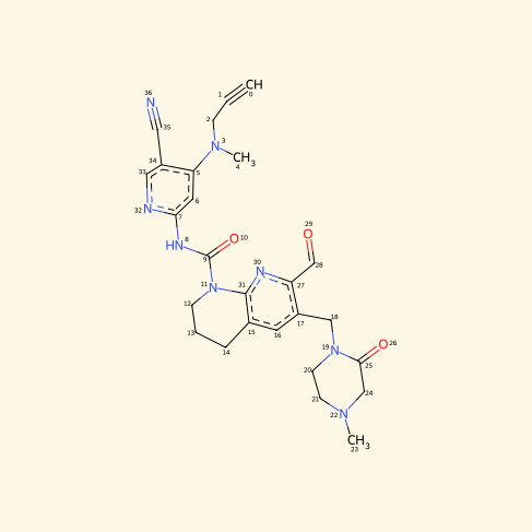 C#CCN(C)c1cc(NC(=O)N2CCCc3cc(CN4CCN(C)CC4=O)c(C=O)nc32)ncc1C#N